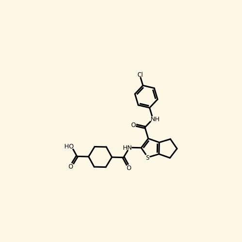 O=C(Nc1ccc(Cl)cc1)c1c(NC(=O)C2CCC(C(=O)O)CC2)sc2c1CCC2